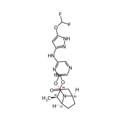 C[C@H]1[C@H](Oc2cncc(Nc3cc(OC(F)F)[nH]n3)n2)C[C@H]2CC[C@@H]1N2C(=O)OC(C)(C)C